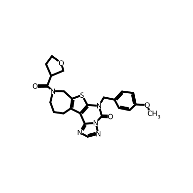 COc1ccc(Cn2c(=O)n3ncnc3c3c4c(sc32)CN(C(=O)C2CCOC2)CCC4)cc1